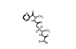 CCN(CC)C(=S)NN(C)S(=O)(=O)CC(=O)NN(C)C(=S)c1cnccn1